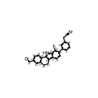 N#CCc1cccc(-c2ccc3c4c([nH]c3c2F)-c2ccc(C=O)cc2CC4)c1